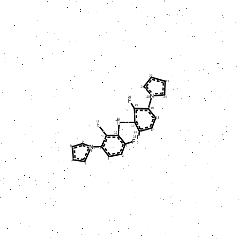 Fc1ccc(-n2cccc2)c(F)[c]1[Ti][c]1c(F)ccc(-n2cccc2)c1F